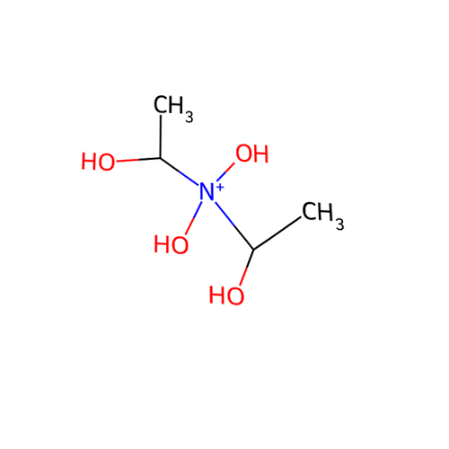 CC(O)[N+](O)(O)C(C)O